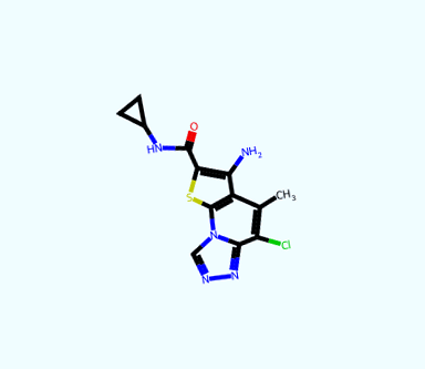 Cc1c(Cl)c2nncn2c2sc(C(=O)NC3CC3)c(N)c12